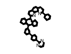 c1ccc(-c2ccc3ccc4ccc(-c5c6ccccc6c(-c6cccc(-c7ccc(-c8ncccn8)cc7)c6)c6ccccc56)nc4c3n2)cc1